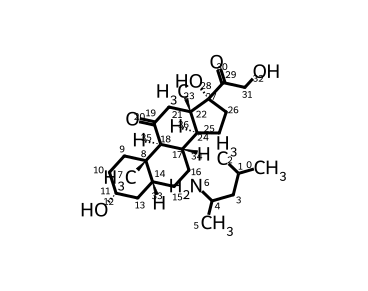 CC(C)CC(C)N.C[C@]12CC[C@@H](O)C[C@H]1CC[C@@H]1[C@@H]2C(=O)C[C@@]2(C)[C@H]1CC[C@]2(O)C(=O)CO